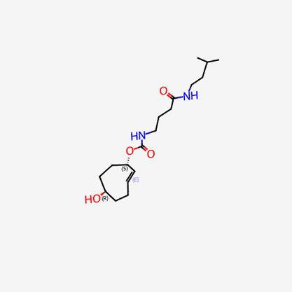 CC(C)CCNC(=O)CCCNC(=O)O[C@@H]1/C=C/CC[C@@H](O)CC1